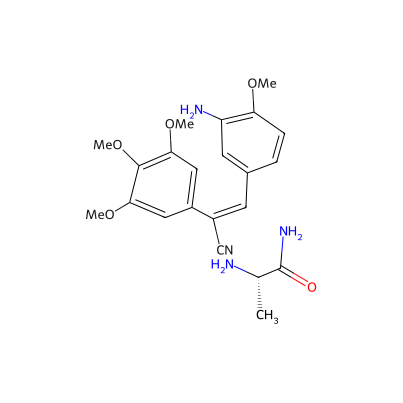 COc1ccc(/C=C(/C#N)c2cc(OC)c(OC)c(OC)c2)cc1N.C[C@H](N)C(N)=O